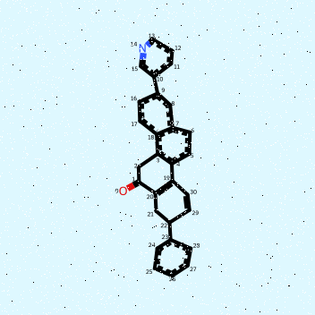 O=C1Cc2c(ccc3cc(-c4cccnc4)ccc23)C2=C1CC(c1ccccc1)C=C2